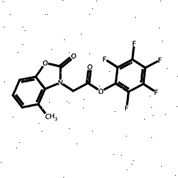 Cc1cccc2oc(=O)n(CC(=O)Oc3c(F)c(F)c(F)c(F)c3F)c12